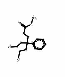 NOC(=O)CCC(CCCl)(CCCl)c1ccccc1